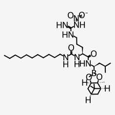 CCCCCCCCCCCNC(=O)N[C@@H](CCCNC(=N)N[N+](=O)[O-])C(=O)N[C@@H](CC(C)C)B1O[C@@H]2C[C@@H]3C[C@@H](C3(C)C)[C@]2(C)O1